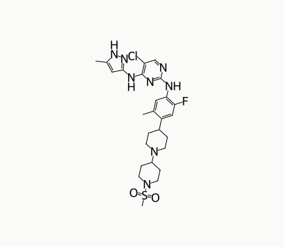 Cc1cc(Nc2nc(Nc3cc(C)c(C4CCN(C5CCN(S(C)(=O)=O)CC5)CC4)cc3F)ncc2Cl)n[nH]1